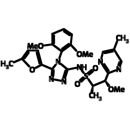 COc1cccc(OC)c1-n1c(NS(=O)(=O)[C@H](C)[C@H](OC)c2ncc(C)cn2)nnc1-c1ccc(C)o1